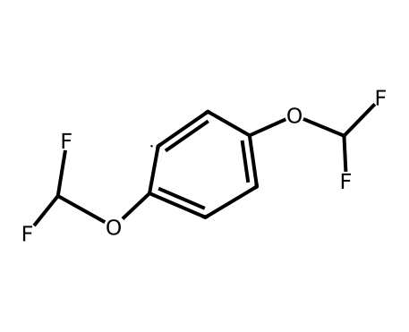 FC(F)Oc1[c]cc(OC(F)F)cc1